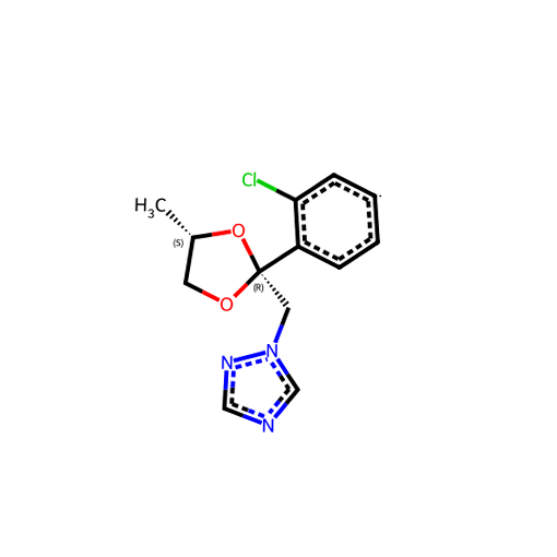 C[C@H]1CO[C@](Cn2cncn2)(c2cc[c]cc2Cl)O1